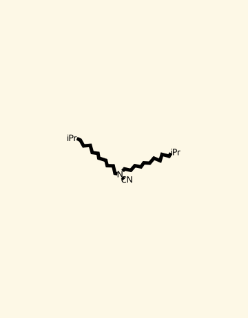 CC(C)CCCCCCCCCCN(C#N)CCCCCCCCCCC(C)C